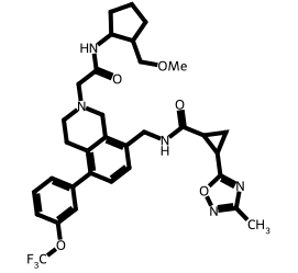 COCC1CCCC1NC(=O)CN1CCc2c(-c3cccc(OC(F)(F)F)c3)ccc(CNC(=O)C3CC3c3nc(C)no3)c2C1